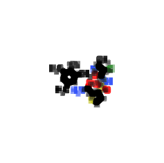 Cc1cc(C)c(C#N)c(C)c1.Cc1noc(NS(=O)(=O)c2ccsc2C(N)=O)c1Cl